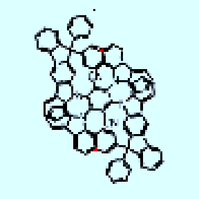 N#Cc1c(-n2c3ccccc3c3ccccc32)c(-n2c3ccccc3c3cc4c(cc32)C(c2ccccc2)(c2ccccc2)c2ccccc2-4)c(C#N)c(-n2c3ccccc3c3ccccc32)c1-n1c2ccccc2c2cc3c(cc21)C(c1ccccc1)(c1ccccc1)c1ccccc1-3